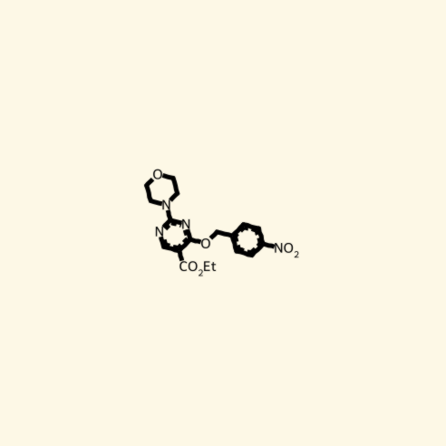 CCOC(=O)c1cnc(N2CCOCC2)nc1OCc1ccc([N+](=O)[O-])cc1